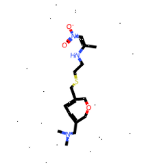 C/C(=C/[N+](=O)[O-])NCCSCC1=CC=C(CN(C)C)COC1